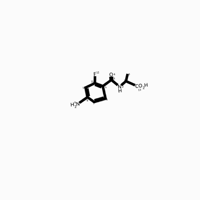 CC(NC(=O)c1ccc(N)cc1F)C(=O)O